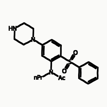 CCCN(C(C)=O)c1cc(N2CCNCC2)ccc1S(=O)(=O)c1ccccc1